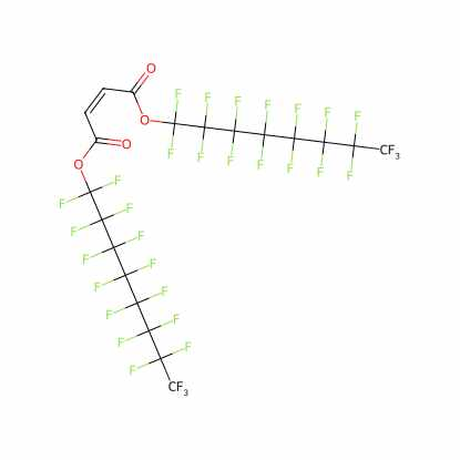 O=C(/C=C\C(=O)OC(F)(F)C(F)(F)C(F)(F)C(F)(F)C(F)(F)C(F)(F)C(F)(F)C(F)(F)F)OC(F)(F)C(F)(F)C(F)(F)C(F)(F)C(F)(F)C(F)(F)C(F)(F)C(F)(F)F